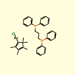 CC1=C(C)C(C)(C)[C]([Ru][Cl])=C1C.c1ccc(P(CCCP(c2ccccc2)c2ccccc2)c2ccccc2)cc1